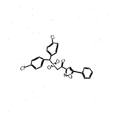 O=C(CS(=O)(=O)C(c1ccc(Cl)cc1)c1ccc(Cl)cc1)c1cc(-c2ccccc2)on1